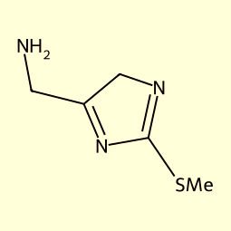 CSC1=NCC(CN)=N1